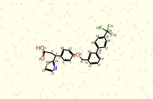 O=C(O)CC(c1ccc(OCc2cccc(-c3ccc(C(F)(F)F)cc3)c2)cc1)c1nccs1